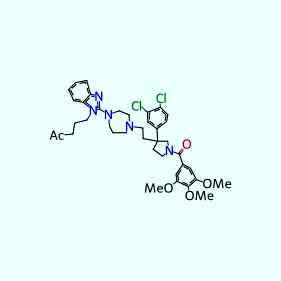 COc1cc(C(=O)N2CCC(CCN3CCCN(c4nc5ccccc5n4CCCC(C)=O)CC3)(c3ccc(Cl)c(Cl)c3)C2)cc(OC)c1OC